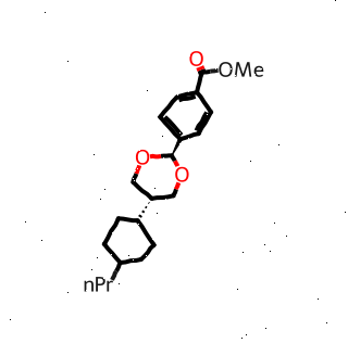 CCCC1CCC([C@H]2CO[C@H](c3ccc(C(=O)OC)cc3)OC2)CC1